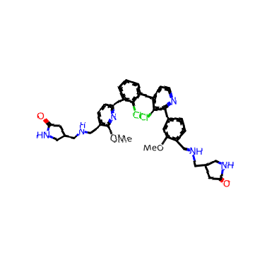 COc1cc(-c2nccc(-c3cccc(-c4ccc(CNCC5CNC(=O)C5)c(OC)n4)c3Cl)c2Cl)ccc1CNCC1CNC(=O)C1